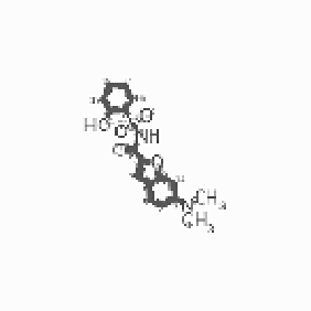 CN(C)c1ccc2cc(C(=O)NS(=O)(=O)c3ccccc3O)oc2c1